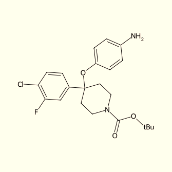 CC(C)(C)OC(=O)N1CCC(Oc2ccc(N)cc2)(c2ccc(Cl)c(F)c2)CC1